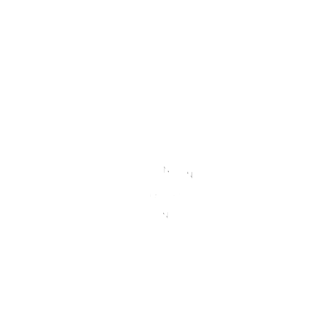 C=CCNC(=O)Oc1nc2ccc(CCCC)cc2[nH]1